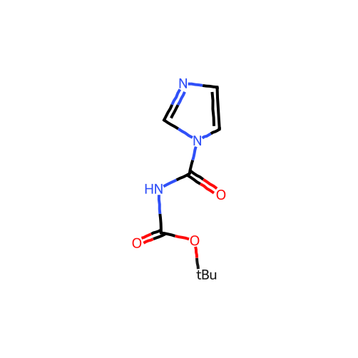 CC(C)(C)OC(=O)NC(=O)n1ccnc1